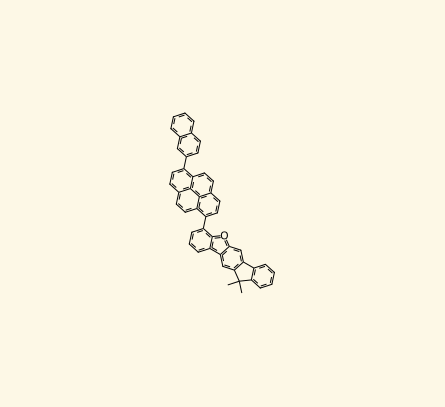 CC1(C)c2ccccc2-c2cc3oc4c(-c5ccc6ccc7c(-c8ccc9ccccc9c8)ccc8ccc5c6c87)cccc4c3cc21